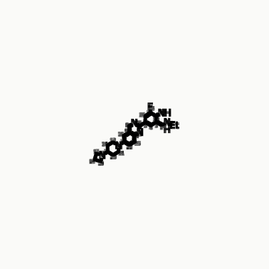 CCN/C=C1/C=C(c2ncc3cc(N4CCC(N5CCC5)CC4)ccc3n2)C=C(F)C1=N